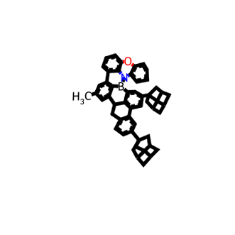 Cc1cc2c3c(c1)C1Cc4ccc(C56CC7CC8CC(C5)C87C6)cc4-c4cc(C56CC7CC8CC(C5)C876)cc(c41)B3N1c3ccccc3Oc3cccc-2c31